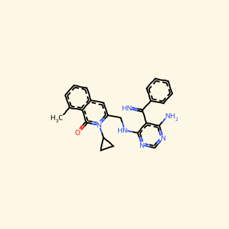 Cc1cccc2cc(CNc3ncnc(N)c3C(=N)c3ccccc3)n(C3CC3)c(=O)c12